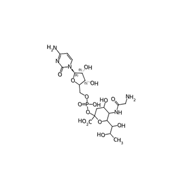 CC(O)C(O)C1OC(OP(=O)(O)OCC2O[C@@H](n3ccc(N)nc3=O)[C@H](O)[C@@H]2O)(C(=O)O)CC(O)C1NC(=O)CN